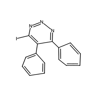 Ic1nnnc(-c2ccccc2)c1-c1ccccc1